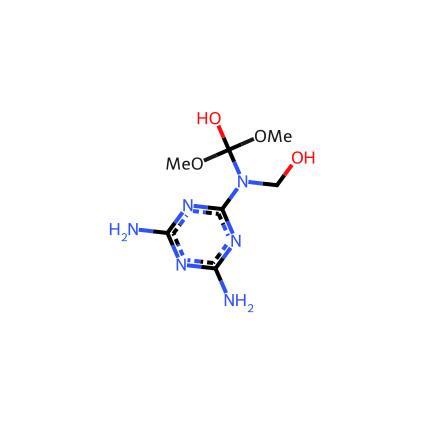 COC(O)(OC)N(CO)c1nc(N)nc(N)n1